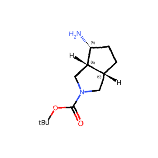 CC(C)(C)OC(=O)N1C[C@H]2CC[C@@H](N)[C@H]2C1